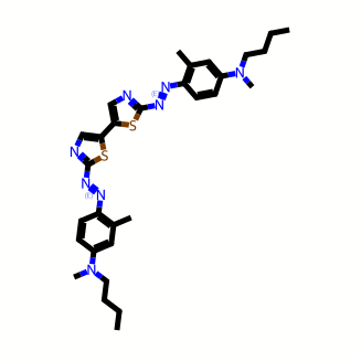 CCCCN(C)c1ccc(/N=N/c2ncc(-c3cnc(/N=N/c4ccc(N(C)CCCC)cc4C)s3)s2)c(C)c1